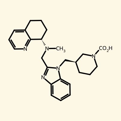 CN(Cc1nc2ccccc2n1C[C@@H]1CCCN(C(=O)O)C1)[C@H]1CCCc2cccnc21